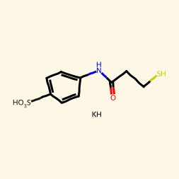 O=C(CCS)Nc1ccc(S(=O)(=O)O)cc1.[KH]